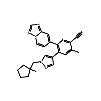 Cc1cc(-c2cnn(CC3(F)CCCC3)c2)c(-c2ccn3ncnc3c2)nc1C#N